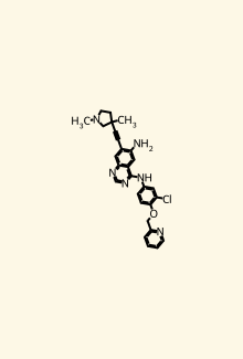 CN1CCC(C)(C#Cc2cc3ncnc(Nc4ccc(OCc5ccccn5)c(Cl)c4)c3cc2N)C1